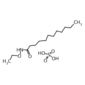 CCCCCCCCCCCC(=O)NOCC.O=S(=O)(O)O